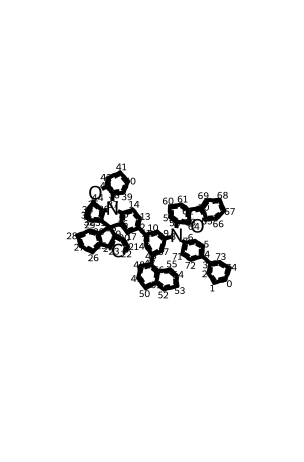 c1ccc(-c2ccc(N(c3cc(-c4ccc5c(c4)C4(c6ccccc6-c6ccccc64)c4cccc6c4N5c4ccccc4O6)cc(-c4cccc5ccccc45)c3)c3cccc4c3oc3ccccc34)cc2)cc1